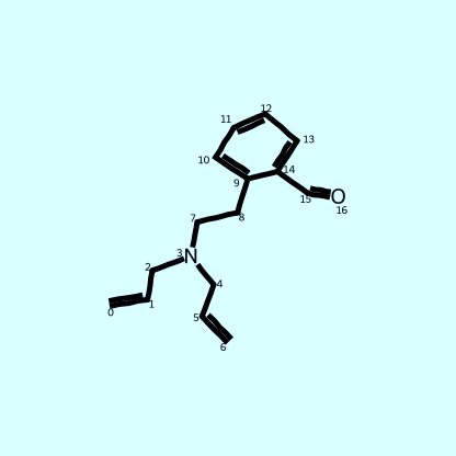 C=CCN(CC=C)CCc1ccccc1C=O